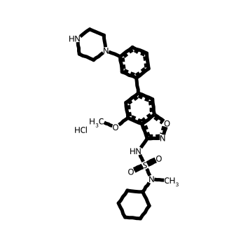 COc1cc(-c2cccc(N3CCNCC3)c2)cc2onc(NS(=O)(=O)N(C)C3CCCCC3)c12.Cl